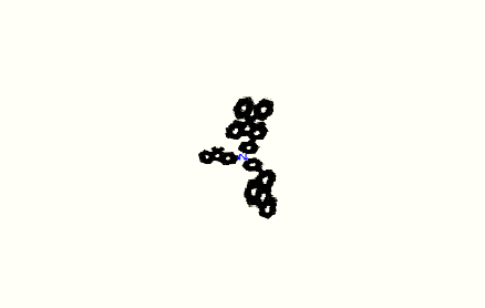 CC1(C)c2ccccc2-c2ccc(N(c3ccc(-c4cccc5c4-c4ccccc4C5(c4ccccc4)c4ccccc4)cc3)c3ccc(-c4ccc5c6c(cccc46)-c4ccccc4-5)cc3)cc21